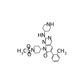 Cc1ccccc1-c1cc2cnc(NC3CCNCC3)nc2n(C2CCN(S(C)(=O)=O)CC2)c1=O